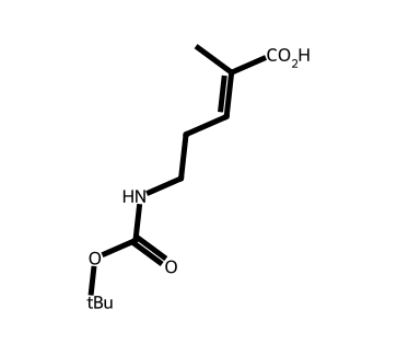 CC(=CCCNC(=O)OC(C)(C)C)C(=O)O